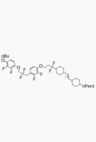 CCCCCC1CCC(/C=C/C2CCC(C(F)(F)CCOc3ccc(CC(F)(F)COc4ccc(OCCCC)c(F)c4F)c(F)c3F)CC2)CC1